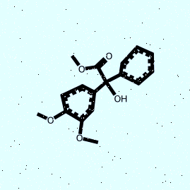 COC(=O)C(O)(c1ccccc1)c1ccc(OC)c(OC)c1